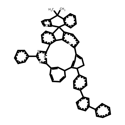 CC1(C)c2ccccc2C2(c3ccc4cc3-c3c(cccc32)-c2nc(nc(-c3ccccc3)n2)C2=CC(C=CC=C2)C2=CC4=CCC2c2ccc(-c3cccc(-c4ccccc4)c3)cc2)c2ccccc21